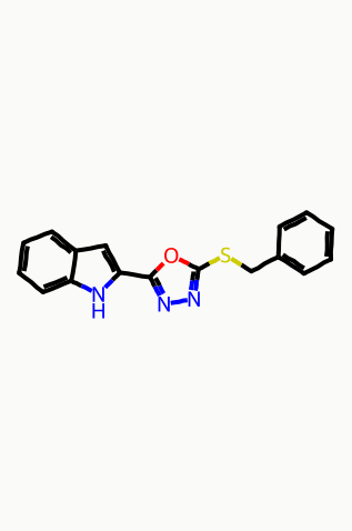 c1ccc(CSc2nnc(-c3cc4ccccc4[nH]3)o2)cc1